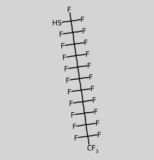 FC(F)(F)C(F)(F)C(F)(F)C(F)(F)C(F)(F)C(F)(F)C(F)(F)C(F)(F)C(F)(F)C(F)(F)C(F)(F)C(F)(F)S